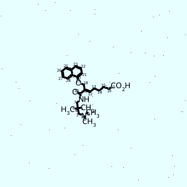 CN(C)CC(C)(C)CNC(=O)/C(=C/CCCCC(=O)O)COc1cccc2ccccc12